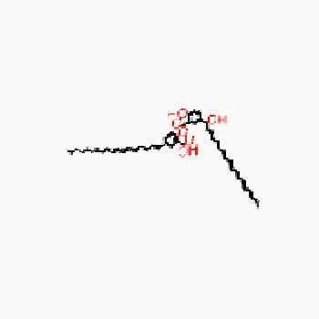 CCCCCCCCCCCCCCCCC=Cc1ccc(OC(=O)c2cc(C(O)CCCCCCCCCCCCCCCCC)ccc2O)c(C(=O)O)c1